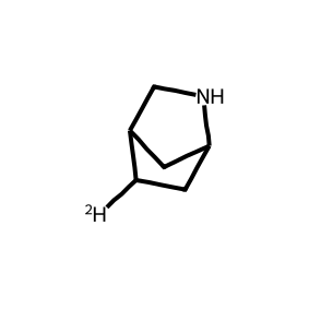 [2H]C1CC2CC1CN2